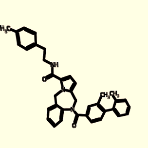 Cc1ccc(CCNC(=O)c2ccc3n2Cc2ccccc2N(C(=O)c2ccc(-c4ccccc4C)c(C)c2)C3)cc1